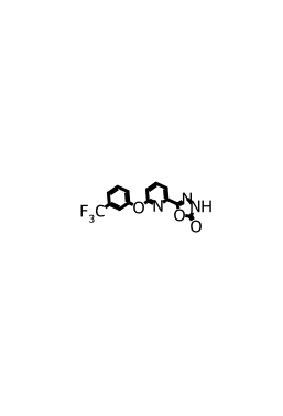 O=c1[nH]nc(-c2cccc(Oc3cccc(C(F)(F)F)c3)n2)o1